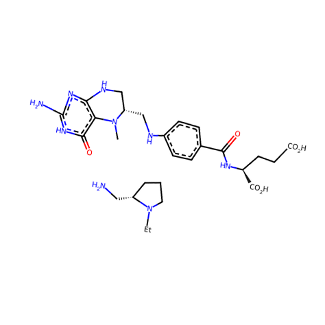 CCN1CCC[C@H]1CN.CN1c2c(nc(N)[nH]c2=O)NC[C@@H]1CNc1ccc(C(=O)N[C@@H](CCC(=O)O)C(=O)O)cc1